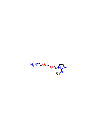 CN1CCN(CCOCCOCCN)C1=NC(C)(C)C